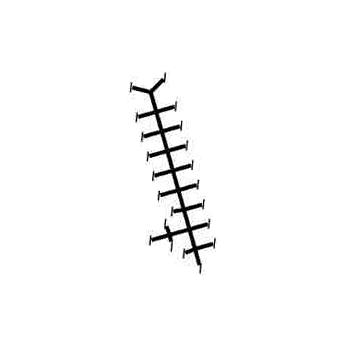 I[C](I)C(I)(I)C(I)(I)C(I)(I)C(I)(I)C(I)(I)C(I)(I)C(I)(C(I)(I)I)C(I)(I)I